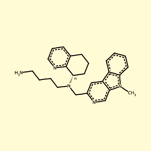 Cn1c2ccccc2c2cc(CN(CCCCN)[C@H]3CCCc4cccnc43)ncc21